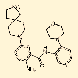 Nc1ncc(N2CCC3(CCNC3)CC2)nc1C(=O)Nc1cnccc1N1CCOCC1